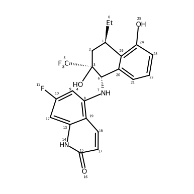 CC[C@@H]1C[C@@](O)(C(F)(F)F)[C@@H](Nc2cc(F)cc3[nH]c(=O)ccc23)c2cccc(O)c21